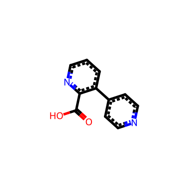 O=C(O)c1ncccc1-c1ccncc1